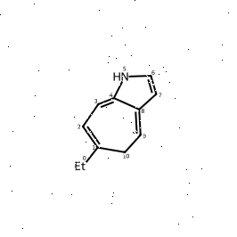 CCC1=CC=c2[nH]ccc2=CC1